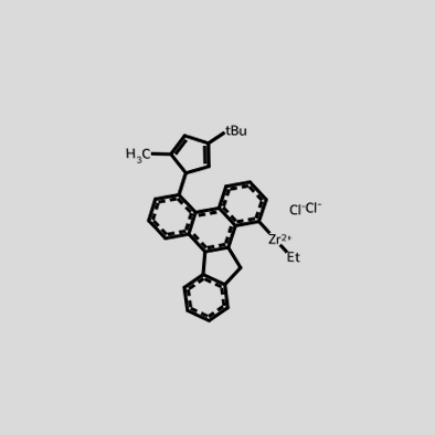 C[CH2][Zr+2][c]1cccc2c1c1c(c3cccc(C4C=C(C(C)(C)C)C=C4C)c32)-c2ccccc2C1.[Cl-].[Cl-]